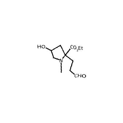 CCOC(=O)C1(CCC=O)CC(O)CN1C